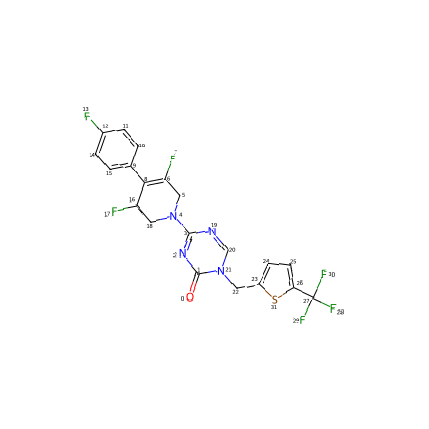 O=c1nc(N2CC(F)=C(c3ccc(F)cc3)C(F)C2)ncn1Cc1ccc(C(F)(F)F)s1